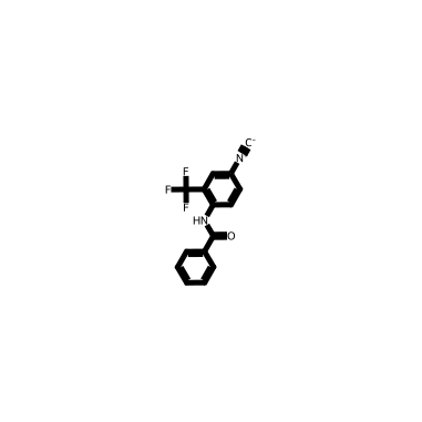 [C-]#[N+]c1ccc(NC(=O)c2ccccc2)c(C(F)(F)F)c1